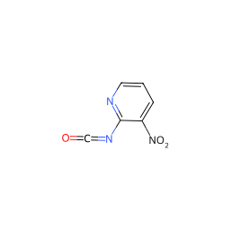 O=C=Nc1ncccc1[N+](=O)[O-]